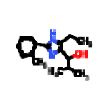 CCc1[nH]c(-c2ccccc2C)nc1C(O)C(C)C